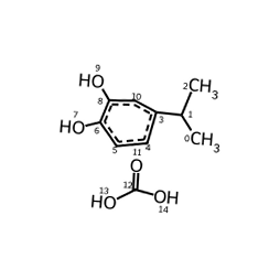 CC(C)c1ccc(O)c(O)c1.O=C(O)O